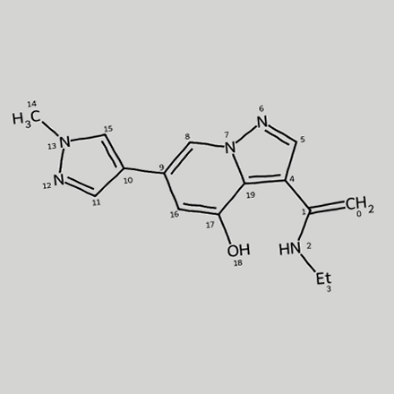 C=C(NCC)c1cnn2cc(-c3cnn(C)c3)cc(O)c12